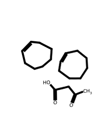 C1=CCCCCCC1.C1=CCCCCCC1.CC(=O)CC(=O)O